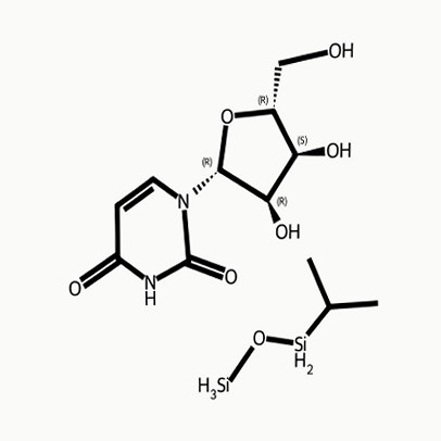 CC(C)[SiH2]O[SiH3].O=c1ccn([C@@H]2O[C@H](CO)[C@@H](O)[C@H]2O)c(=O)[nH]1